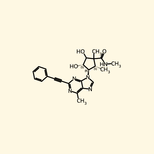 CNC(=O)C1(C)C(O)[C@@H](O)[C@H](n2cnc3c(C)nc(C#Cc4ccccc4)nc32)[C@H]1C